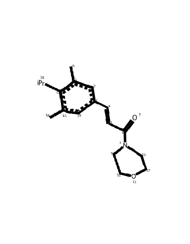 Cc1cc(/C=C/C(=O)N2CCOCC2)cc(C)c1C(C)C